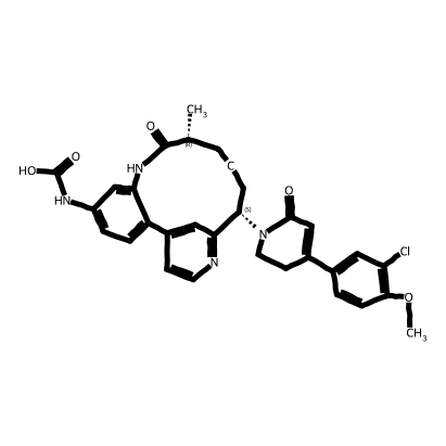 COc1ccc(C2=CC(=O)N([C@H]3CCC[C@@H](C)C(=O)Nc4cc(NC(=O)O)ccc4-c4ccnc3c4)CC2)cc1Cl